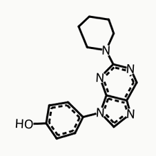 Oc1ccc(-n2cnc3cnc(N4CCCCC4)nc32)cc1